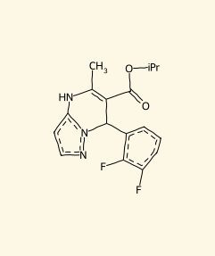 CC1=C(C(=O)OC(C)C)C(c2cccc(F)c2F)n2nccc2N1